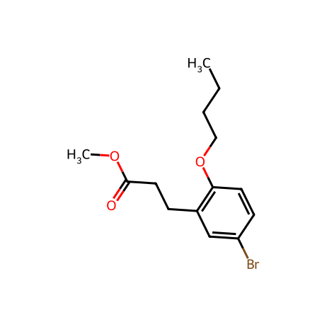 CCCCOc1ccc(Br)cc1CCC(=O)OC